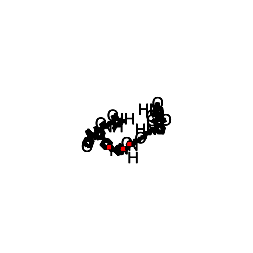 CCN(c1cc(-c2ccc(CN3CCN(CC(=O)NCCOCCCNc4cccc5c4C(=O)N(C4CCC(=O)NC4=O)C5=O)CC3)cc2)cc(C(=O)NCc2c(C)cc(C)[nH]c2=O)c1C)C1CCOCC1